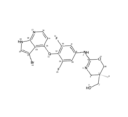 C[C@]1(CO)CN=C(Nc2cc(F)c(Oc3ccnc4[nH]cc(Br)c34)c(F)c2)OC1